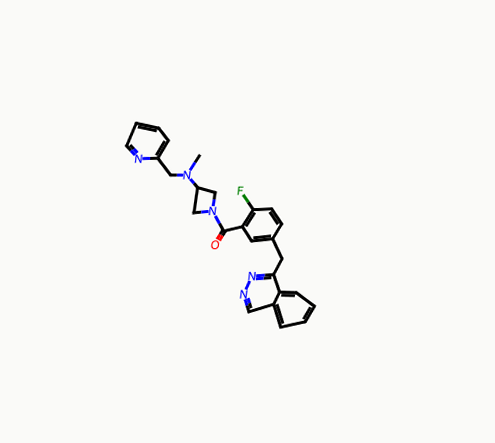 CN(Cc1ccccn1)C1CN(C(=O)c2cc(Cc3nncc4ccccc34)ccc2F)C1